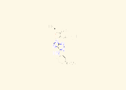 C#C[C@H]1O[C@@H](n2cnc3c(N[C@H]4C=C[C@@H](OC)CCC4)ncnc32)[C@H](CC(=O)O)[C@H]1OC(C)=O